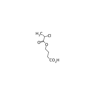 CC(Cl)C(=O)OCCCC(=O)O